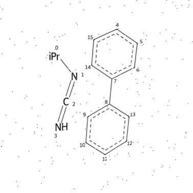 CC(C)N=C=N.c1ccc(-c2ccccc2)cc1